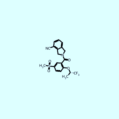 C[C@H](Oc1ccc(S(C)(=O)=O)cc1C(=O)N1Cc2cccc(C#N)c2C1)C(F)(F)F